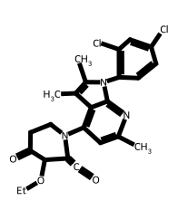 CCOC1C(=O)CCN(c2cc(C)nc3c2c(C)c(C)n3-c2ccc(Cl)cc2Cl)C1=C=O